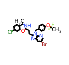 C[C@H](NC(=O)CCc1nc2cc(Br)cnc2n1Cc1ccc(OC(C)(F)F)cc1)c1ccc(Cl)cc1